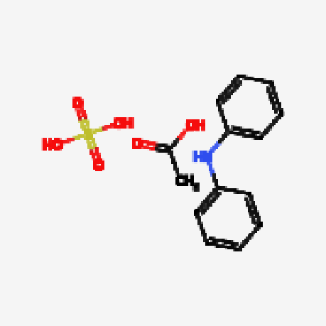 CC(=O)O.O=S(=O)(O)O.c1ccc(Nc2ccccc2)cc1